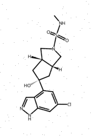 CNS(=O)(=O)N1C[C@@H]2C[C@@](O)(c3cc(Cl)cc4[nH]ncc34)C[C@@H]2C1